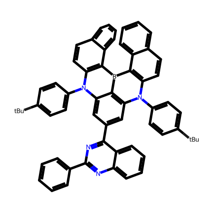 CC(C)(C)c1ccc(N2c3cc(-c4nc(-c5ccccc5)nc5ccccc45)cc4c3B(c3c2ccc2ccccc32)c2c(ccc3ccccc23)N4c2ccc(C(C)(C)C)cc2)cc1